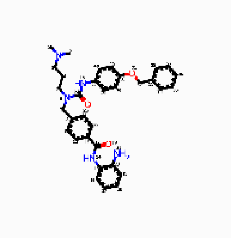 CN(C)CCCN(Cc1ccc(C(=O)Nc2ccccc2N)cc1)C(=O)Nc1ccc(OCc2ccccc2)cc1